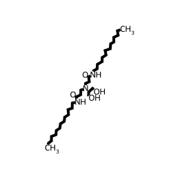 CCCCCCCCCCCCCCNC(=O)CCN(CCC(=O)NCCCCCCCCCCCCCC)C(CO)CO